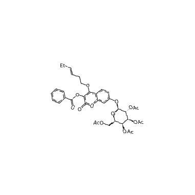 CC/C=C/CCOc1c(OC(=O)c2ccccc2)c(=O)oc2cc(O[C@@H]3O[C@H](COC(C)=O)[C@H](OC(C)=O)[C@H](OC(C)=O)[C@H]3OC(C)=O)ccc12